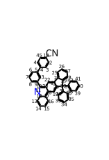 N#Cc1ccc(-c2cccc(-c3nc4ccccc4c4cc5c(cc34)-c3ccccc3C5(c3ccccc3)c3ccccc3)c2)cc1